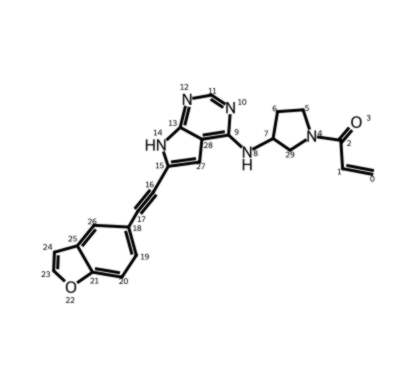 C=CC(=O)N1CCC(Nc2ncnc3[nH]c(C#Cc4ccc5occc5c4)cc23)C1